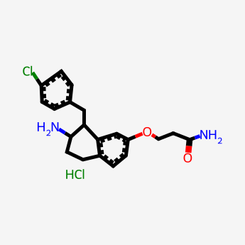 Cl.NC(=O)CCOc1ccc2c(c1)C(Cc1ccc(Cl)cc1)C(N)CC2